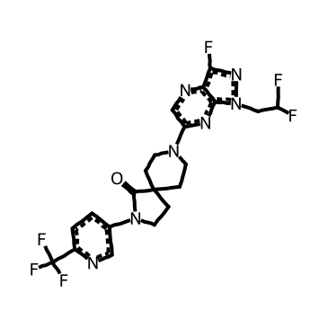 O=C1N(c2ccc(C(F)(F)F)nc2)CCC12CCN(c1cnc3c(F)nn(CC(F)F)c3n1)CC2